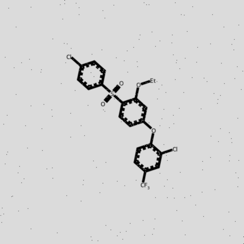 CCOc1cc(Oc2ccc(C(F)(F)F)cc2Cl)ccc1S(=O)(=O)c1ccc(Cl)cc1